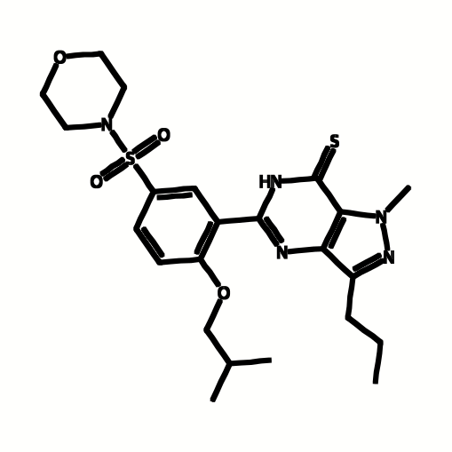 CCCc1nn(C)c2c(=S)[nH]c(-c3cc(S(=O)(=O)N4CCOCC4)ccc3OCC(C)C)nc12